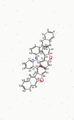 c1cc(-c2ccc3ccccc3c2)cc(N(c2ccccc2-c2cccc3oc4cc5ccccc5cc4c23)c2cccc3oc4ccccc4c23)c1